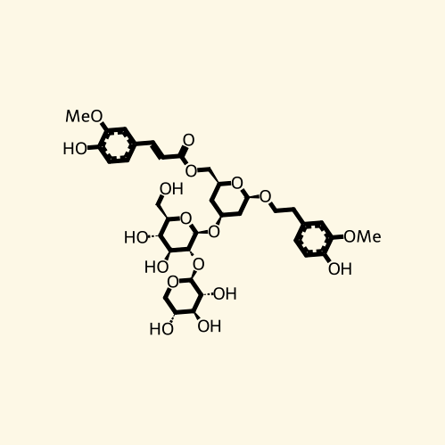 COc1cc(/C=C/C(=O)OC[C@@H]2C[C@H](O[C@@H]3O[C@H](CO)[C@@H](O)[C@H](O)[C@H]3O[C@@H]3OC[C@@H](O)[C@H](O)[C@H]3O)C[C@H](OCCc3ccc(O)c(OC)c3)O2)ccc1O